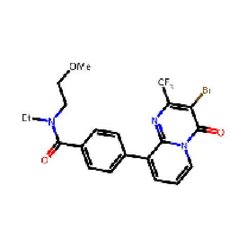 CCN(CCOC)C(=O)c1ccc(-c2cccn3c(=O)c(Br)c(C(F)(F)F)nc23)cc1